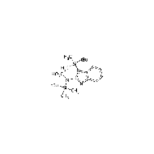 CC(C)(C)[Si](C)(C)N(C(=O)O)c1nc2ccccc2n1[Si](C)(C)C(C)(C)C